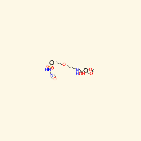 CC1(C)OCc2cc([C@H](O)CNCCCCCCOCCCCc3cccc(S(=O)(=O)NCCN4CCOCC4)c3)ccc2O1